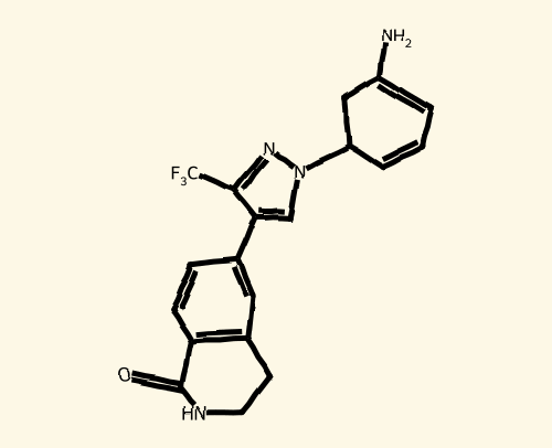 NC1=CC=CC(n2cc(-c3ccc4c(c3)CCNC4=O)c(C(F)(F)F)n2)C1